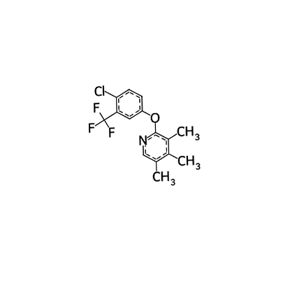 Cc1cnc(Oc2ccc(Cl)c(C(F)(F)F)c2)c(C)c1C